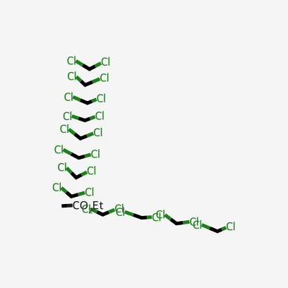 CCOC(C)=O.ClCCl.ClCCl.ClCCl.ClCCl.ClCCl.ClCCl.ClCCl.ClCCl.ClCCl.ClCCl.ClCCl.ClCCl